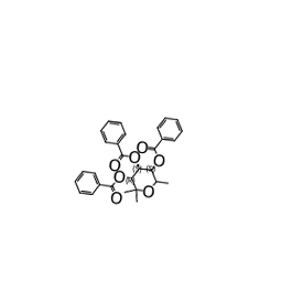 CC1OC(C)(C)[C@H](OC(=O)c2ccccc2)[C@@H](OC(=O)c2ccccc2)[C@H]1OC(=O)c1ccccc1